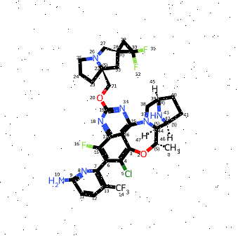 C[C@@H]1Oc2c(Cl)c(-c3nc(N)ccc3C(F)(F)F)c(F)c3nc(OC[C@@]45CCCN4C[C@]4(CC4(F)F)C5)nc(c23)N2C[C@H]3CC[C@H](N3)[C@@H]12